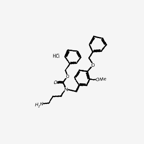 COc1cc(CN(CCCN)C(=O)OCc2ccccc2)ccc1OCc1ccccc1.Cl